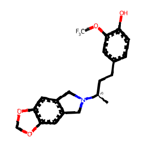 C[C@H](CCc1ccc(O)c(OC(F)(F)F)c1)N1Cc2cc3c(cc2C1)OCO3